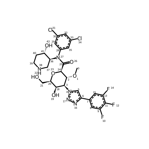 CO[C@@H]1[C@@H](n2cc(-c3cc(F)c(F)c(F)c3)nn2)[C@@H](O)[C@@H](CO)O[C@H]1C(=O)N(c1cc(Cl)cc(Cl)c1)[C@H]1CNCC[C@@H]1O